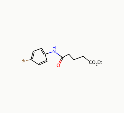 CCOC(=O)CCCC(=O)Nc1ccc(Br)cc1